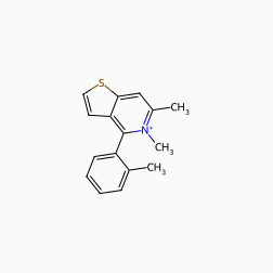 Cc1ccccc1-c1c2ccsc2cc(C)[n+]1C